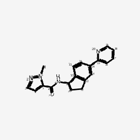 Cn1nccc1C(=O)NC1CCc2cc(-c3ccccn3)ccc21